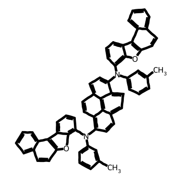 Cc1cccc(N(c2ccc3ccc4c(N(c5cccc(C)c5)c5cccc6c5oc5ccc7ccccc7c56)ccc5ccc2c3c54)c2cccc3c2oc2ccc4ccccc4c23)c1